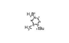 Bc1ccc(C(C)(C)C)c(C)c1